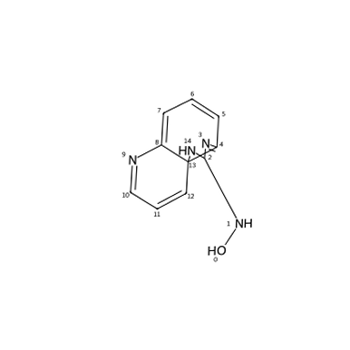 ONC1N=C2C=CC=C3N=CC=CC32N1